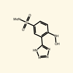 CNS(=O)(=O)c1ccc(BO)c(-c2nnn[nH]2)c1